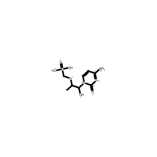 CC(OCP(=O)(O)O)C(O)n1ccc(N)nc1=O